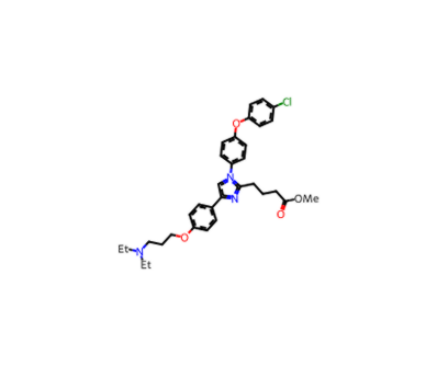 CCN(CC)CCCOc1ccc(-c2cn(-c3ccc(Oc4ccc(Cl)cc4)cc3)c(CCCC(=O)OC)n2)cc1